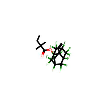 C=CC1(F)C2(F)C(F)(F)C3(F)C(F)(F)C(F)(C2(F)F)C(F)(F)C1(OC(=O)C(C)(C)CC)C3(F)F